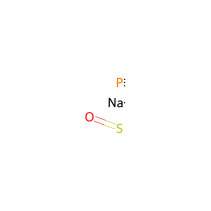 O=S.[Na].[P]